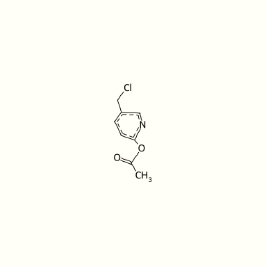 CC(=O)Oc1ccc(CCl)cn1